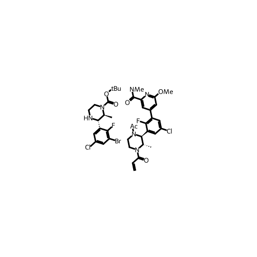 C=CC(=O)N1CCN(C(C)=O)[C@@H](c2cc(Cl)cc(-c3cc(OC)nc(C(=O)NC)c3)c2F)[C@@H]1C.C[C@H]1[C@H](c2cc(Cl)cc(Br)c2F)NCCN1C(=O)OC(C)(C)C